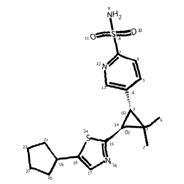 CC1(C)[C@@H](c2ccc(S(N)(=O)=O)nc2)[C@@H]1c1ncc(C2CCCC2)s1